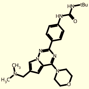 CN(C)Cc1cc2c(N3CCOCC3)nc(-c3ccc(NC(=O)NC(C)(C)C)cc3)nn2c1